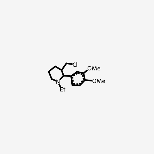 CCN1CCCC(CCl)C1c1ccc(OC)c(OC)c1